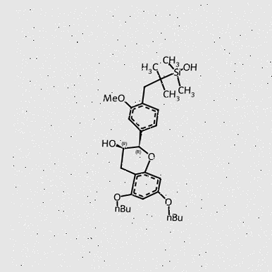 CCCCOc1cc(OCCCC)c2c(c1)O[C@H](c1ccc(CC(C)(C)[Si](C)(C)O)c(OC)c1)[C@H](O)C2